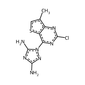 Cc1csc2c(-n3nc(N)nc3N)nc(Cl)nc12